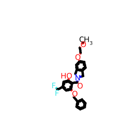 COCCOc1ccc2c(c1)CN(C(=O)c1c(O)cc(C(F)F)cc1OCc1ccccc1)C2